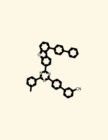 Cc1cccc(-c2nc(-c3ccc(-c4cccc(C#N)c4)cc3)nc(-c3ccc4c(c3)oc3cccc(-c5ccc(-c6ccccc6)cc5)c34)n2)c1